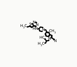 C#CC(CC)Cn1c(C#N)cc2c(C)c(CN3CCC(Nc4ncnc5sc(CC)cc45)CC3)ccc21